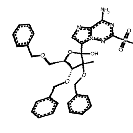 C[C@@]1(OCc2ccccc2)[C@H](OCc2ccccc2)[C@@H](COCc2ccccc2)OC1(O)c1cnc2c(N)nc(S(C)(=O)=O)nn12